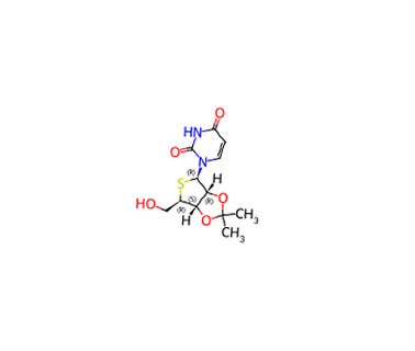 CC1(C)O[C@@H]2[C@H](O1)[C@@H](CO)S[C@H]2n1ccc(=O)[nH]c1=O